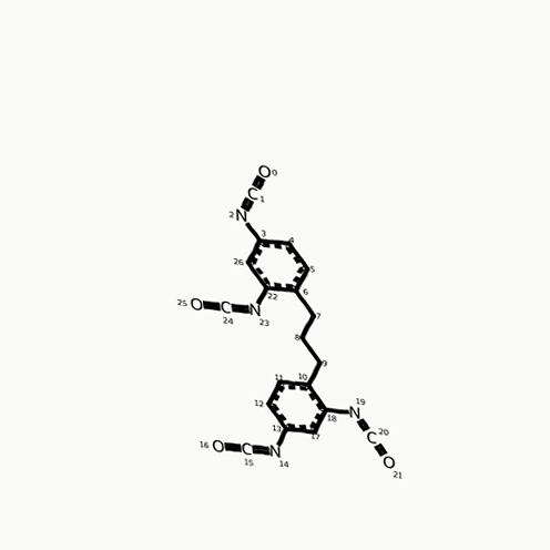 O=C=Nc1ccc(CCCc2ccc(N=C=O)cc2N=C=O)c(N=C=O)c1